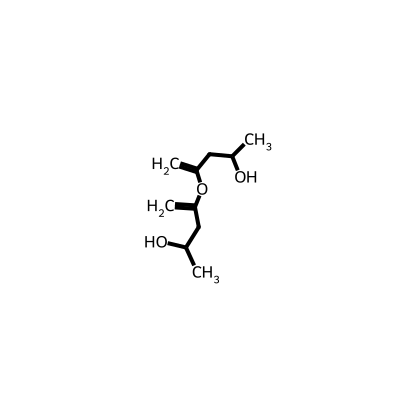 C=C(CC(C)O)OC(=C)CC(C)O